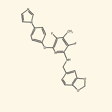 Cc1c(F)c(NCc2ccc3c(c2)OCO3)nc(Oc2ccc(-n3ccnc3)cc2)c1F